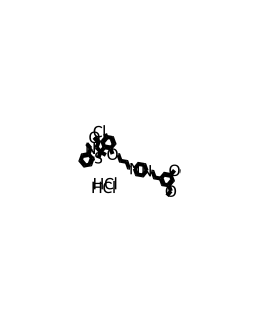 COc1cc(CCN2CCN(CCCCOc3ccc(Cl)cc3C3(C)Sc4ccccc4N(C)C3C=O)CC2)cc(OC)c1.Cl.Cl